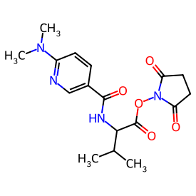 CC(C)C(NC(=O)c1ccc(N(C)C)nc1)C(=O)ON1C(=O)CCC1=O